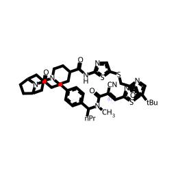 CCCC(c1ccc(CCC(=O)N2C3CCC2CC(N2CCC(C(=O)Nc4ncc(SCc5ncc(C(C)(C)C)o5)s4)CC2)C3)cc1)N(C)C(=O)/C(C#N)=C/c1nccs1